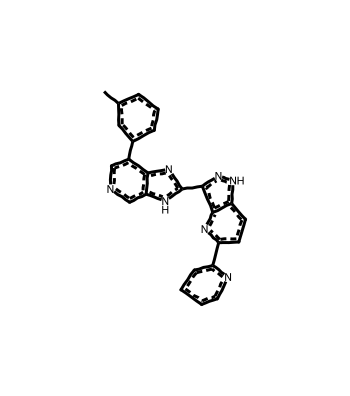 Cc1cccc(-c2cncc3[nH]c(-c4n[nH]c5ccc(-c6ccccn6)nc45)nc23)c1